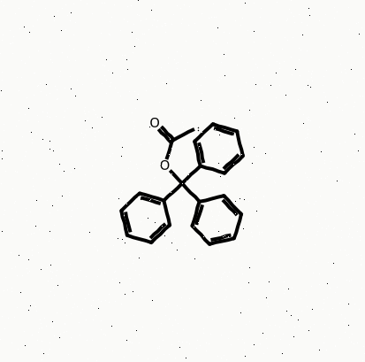 [CH]C(=O)OC(c1ccccc1)(c1ccccc1)c1ccccc1